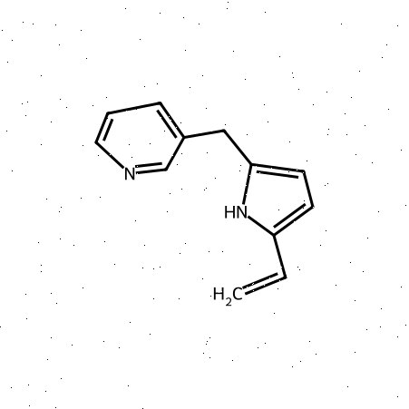 C=Cc1ccc(Cc2cccnc2)[nH]1